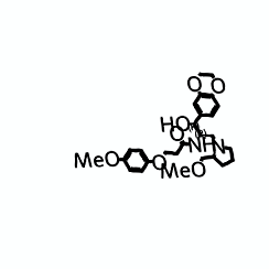 COCC1CCCN1C[C@@H](NC(=O)CCOc1ccc(OC)cc1)[C@H](O)c1ccc2c(c1)OCCO2